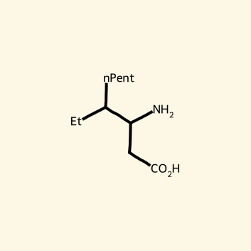 CCCCCC(CC)C(N)CC(=O)O